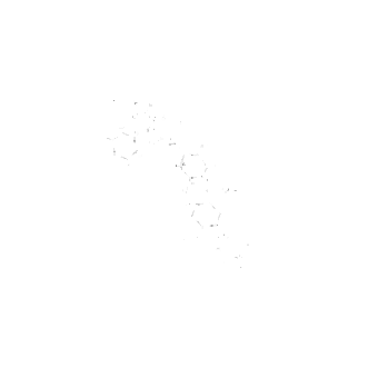 COc1cc(N2CCN(C)CC2)c(C)cc1Nc1ncc(C(F)(F)F)c(N[C@@H]2Cc3ccccc3[C@H]2N(C)S(C)(=O)=O)n1